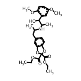 CCOC(=O)C1(C(=O)OCC)Oc2ccc(CC(C)NC(C)C(O)c3cc(OC)ccc3OC)cc2O1